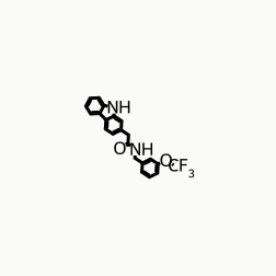 O=C(Cc1ccc2c(c1)[nH]c1ccccc12)NCc1cccc(OC(F)(F)F)c1